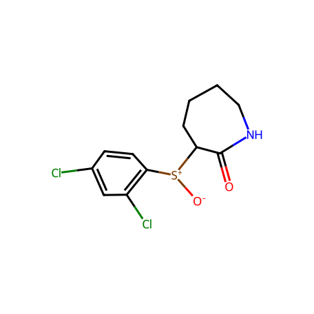 O=C1NCCCCC1[S+]([O-])c1ccc(Cl)cc1Cl